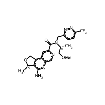 COC[C@@H](C)N(Cc1ccc(C(F)(F)F)nn1)C(=O)c1cc2c3c(c(N)nc2cn1)[C@@H](C)OC3